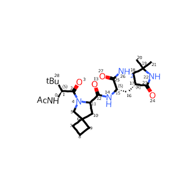 CC(=O)N[C@H](C(=O)N1CC2(CCC2)CC1C(=O)N[C@@H](C[C@@H]1CC(C)(C)NC1=O)C(N)=O)C(C)(C)C